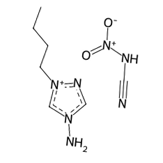 CCCC[n+]1cn(N)cn1.N#CN[N+](=O)[O-]